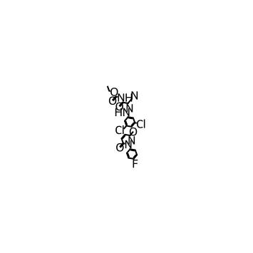 CCOC(=O)NC(=O)C(C#N)=NNc1cc(Cl)c(Oc2ccc(=O)n(-c3ccc(F)cc3)n2)c(Cl)c1